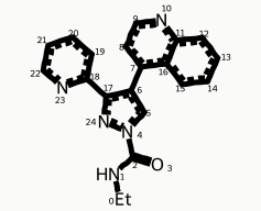 CCNC(=O)n1cc(-c2ccnc3ccccc23)c(-c2ccccn2)n1